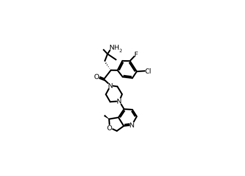 C[C@@H]1OCc2nccc(N3CCN(C(=O)[C@H](CC(C)(C)N)c4ccc(Cl)c(F)c4)CC3)c21